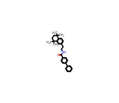 CC1(C)CCC(C)(C)c2cc(CCNC(=O)c3ccc(-c4ccccc4)cc3)ccc21